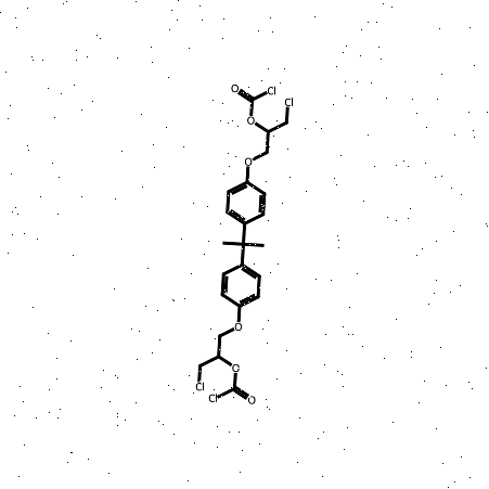 CC(C)(c1ccc(OCC(CCl)OC(=O)Cl)cc1)c1ccc(OCC(CCl)OC(=O)Cl)cc1